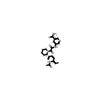 C=C(/C=C\C(=C/C)NC(C)=O)[C@@H]1CCCCN1C(=O)C(=O)Nc1cncc(C(N)=O)c1